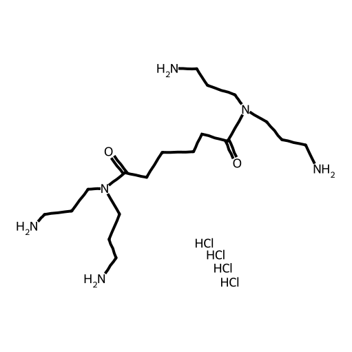 Cl.Cl.Cl.Cl.NCCCN(CCCN)C(=O)CCCCC(=O)N(CCCN)CCCN